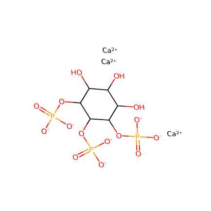 O=P([O-])([O-])OC1C(O)C(O)C(O)C(OP(=O)([O-])[O-])C1OP(=O)([O-])[O-].[Ca+2].[Ca+2].[Ca+2]